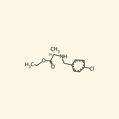 CCOC(=O)[C@H](C)NCc1ccc(Cl)cc1